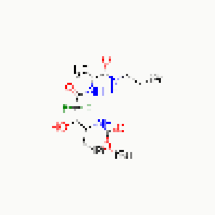 CC(C)CCNC(=O)C(C)NC(=O)C(F)(F)C(O)C(CC(C)C)NC(=O)OC(C)(C)C